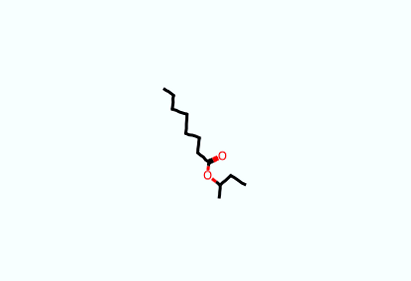 CCCCCCCC(=O)OC(C)CC